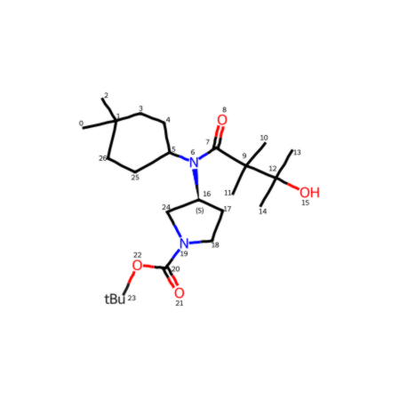 CC1(C)CCC(N(C(=O)C(C)(C)C(C)(C)O)[C@H]2CCN(C(=O)OC(C)(C)C)C2)CC1